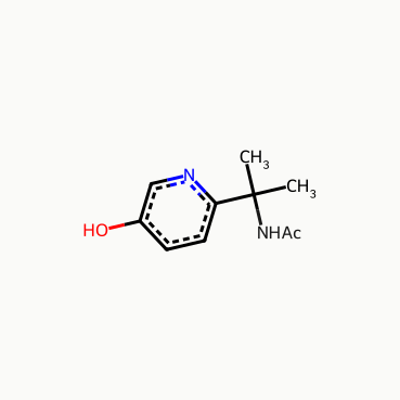 CC(=O)NC(C)(C)c1ccc(O)cn1